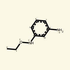 CCONc1cccc(N)c1